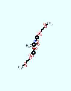 C=CC(=O)OCCCCOC(=O)Oc1ccc(C(=O)Oc2cc3c(=O)oc(-c4ccc(OC(=O)OCCCCOC(=O)C=C)cc4)nc3cc2C)cc1